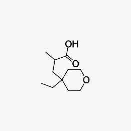 CCC1(CC(C)C(=O)O)CCOCC1